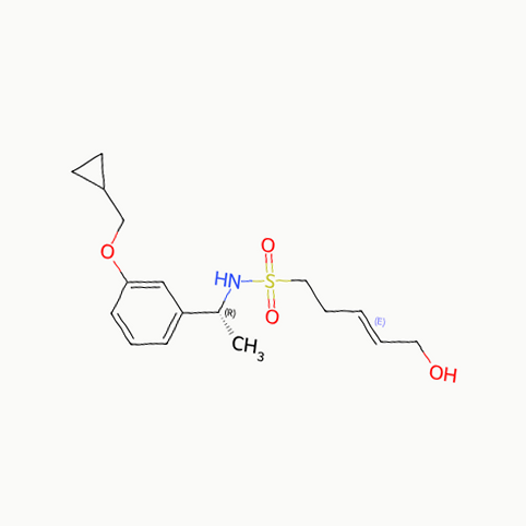 C[C@@H](NS(=O)(=O)CC/C=C/CO)c1cccc(OCC2CC2)c1